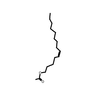 CCCCCCCC/C=C\CCCCOC(C)=O